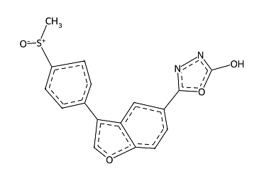 C[S+]([O-])c1ccc(-c2coc3ccc(-c4nnc(O)o4)cc23)cc1